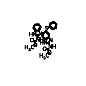 COC(=O)Nc1nc2cc(Sc3ccccc3)ccc2[nH]1.COC(=O)Nc1nc2ccccc2[nH]1